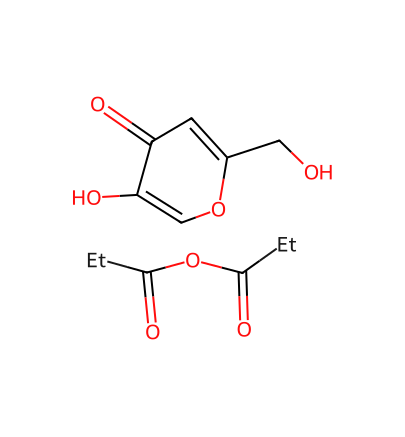 CCC(=O)OC(=O)CC.O=c1cc(CO)occ1O